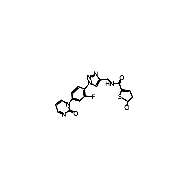 O=C(NCc1cn(-c2ccc(-n3cccnc3=O)cc2F)nn1)C1=CCC(Cl)S1